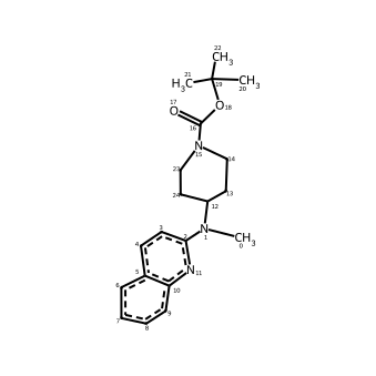 CN(c1ccc2ccccc2n1)C1CCN(C(=O)OC(C)(C)C)CC1